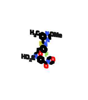 COc1cnc2c(-c3nc4cc(F)c5c(c4s3)C[C@H](CN(C(=O)O)c3ccc(C(=O)N4CCOCC4)cc3)O5)cc(C)cc2n1